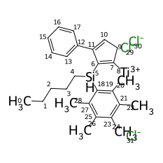 CCCCC[SiH](C1=[C]([Ti+3])CC=C1c1ccccc1)c1c(C)c(C)c(C)c(C)c1C.[Cl-].[Cl-].[Cl-]